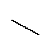 CCCCCCCCCCC/C=C/CCCCCCCCCCC